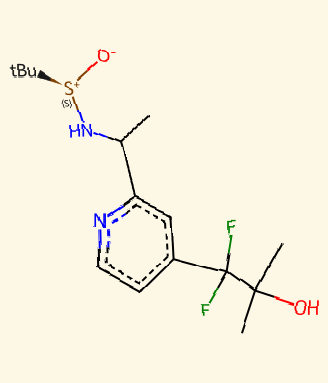 CC(N[S@+]([O-])C(C)(C)C)c1cc(C(F)(F)C(C)(C)O)ccn1